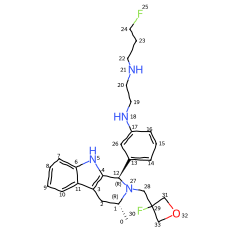 C[C@@H]1Cc2c([nH]c3ccccc23)[C@@H](c2cccc(NCCNCCCF)c2)N1CC1(F)COC1